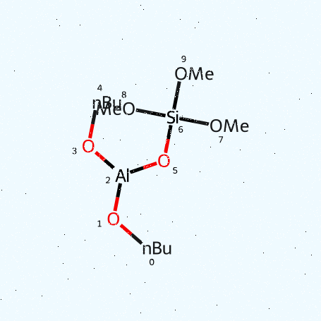 CCCC[O][Al]([O]CCCC)[O][Si](OC)(OC)OC